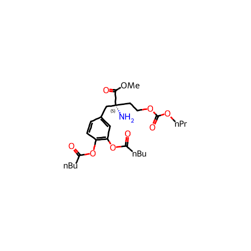 CCCCC(=O)Oc1ccc(C[C@](N)(CCOC(=O)OCCC)C(=O)OC)cc1OC(=O)CCCC